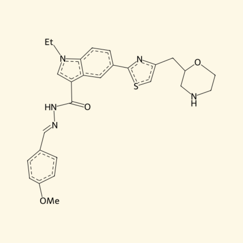 CCn1cc(C(=O)NN=Cc2ccc(OC)cc2)c2cc(-c3nc(CC4CNCCO4)cs3)ccc21